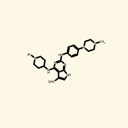 CC(C)N1CCC(Nc2nc(Nc3ccc(N4CCN(C)CC4)cc3)nc3[nH]cc(C=O)c23)CC1